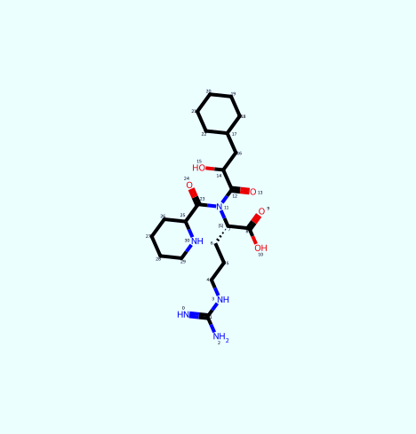 N=C(N)NCCC[C@@H](C(=O)O)N(C(=O)C(O)CC1CCCCC1)C(=O)C1CCCCN1